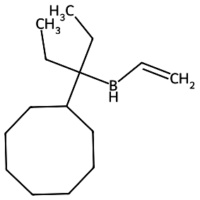 C=CBC(CC)(CC)C1CCCCCCC1